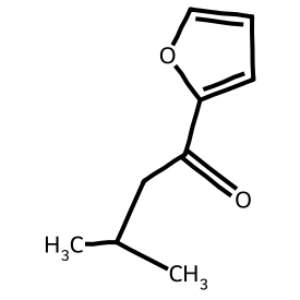 CC(C)CC(=O)c1ccco1